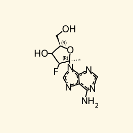 C[C@@]1(n2cnc3c(N)ncnc32)O[C@H](CO)C(O)C1F